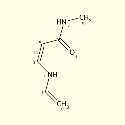 C=CN/C=C\C(=O)NC